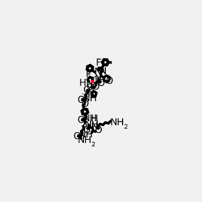 Cc1ccc(F)c(-c2cn(Cc3ccccc3)c([C@@H](C3CCOCC3)N(C[C@@H]3CNC[C@@H]3F)C(=O)[C@H](C)OC(=O)[C@@H]3CCCN3C(=O)[C@@H](C)NC(=O)OCc3ccc(NC(=O)[C@H](CCCNC(N)=O)NC(=O)[C@@H](NC(=O)CCCCCN)C(C)C)cc3)n2)c1